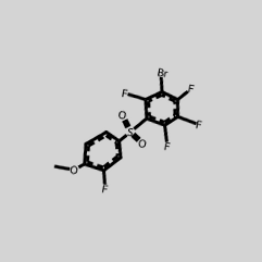 COc1ccc(S(=O)(=O)c2c(F)c(F)c(F)c(Br)c2F)cc1F